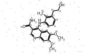 COc1cc2ncc(C(N)=O)c(Nc3cccc(CCO)c3C)c2cc1OC